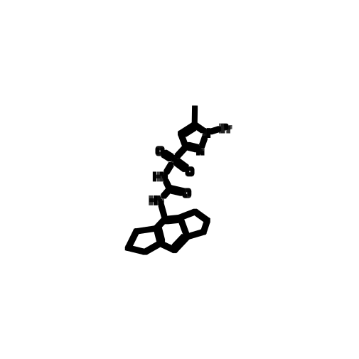 Cc1cc(S(=O)(=O)NC(=O)Nc2c3c(cc4c2CCC4)CCC3)nn1C(C)C